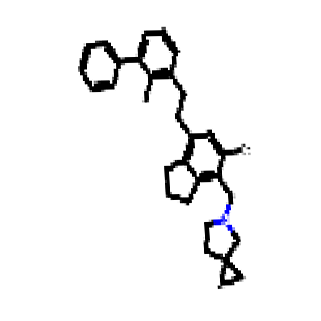 CCc1cc(CCc2cccc(-c3ccccc3)c2C)c2c(c1CN1CCC3(CC3)C1)CCC2